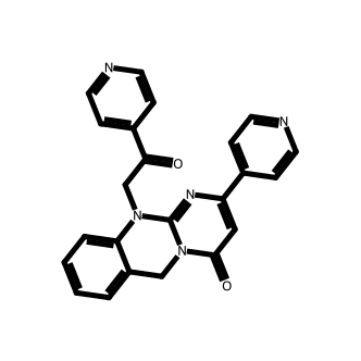 O=C(CN1c2ccccc2Cn2c1nc(-c1ccncc1)cc2=O)c1ccncc1